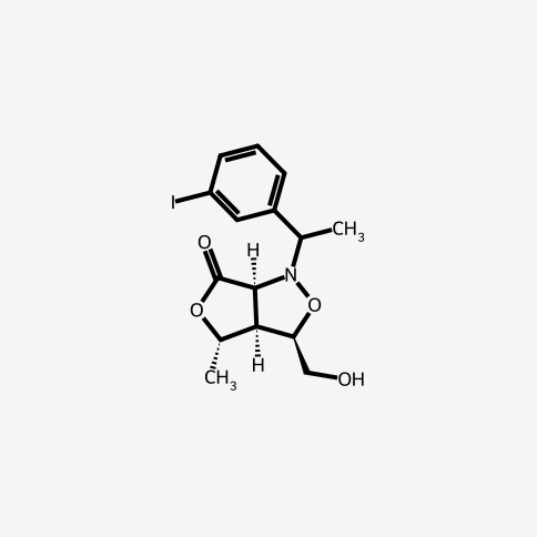 CC(c1cccc(I)c1)N1O[C@@H](CO)[C@H]2[C@H](C)OC(=O)[C@H]21